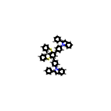 c1ccc(-c2cc3ccccc3n2-c2ccc(-c3cc(-c4ccc(-n5c(-c6ccccc6)cc6ccccc65)cc4)c4c5c3Sc3ccccc3B5c3ccccc3S4)cc2)cc1